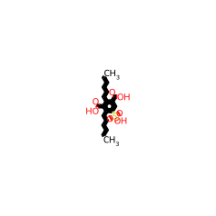 CCCCCCc1c(C(=O)O)cc(S(=O)(=O)O)c(CCCCCC)c1C(=O)O